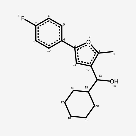 Cc1oc(-c2ccc(F)cc2)cc1C(O)C1CCCCC1